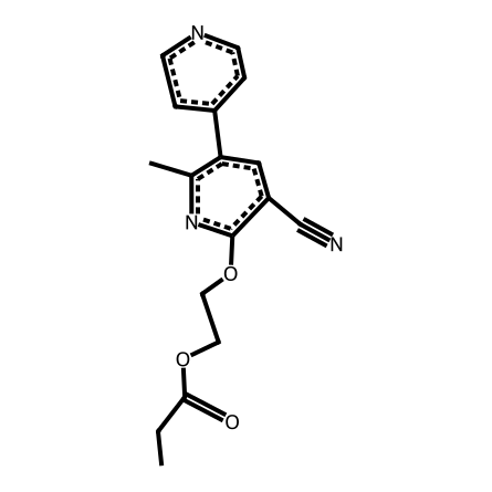 CCC(=O)OCCOc1nc(C)c(-c2ccncc2)cc1C#N